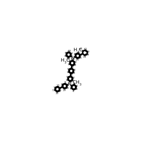 Cc1ccccc1N(c1ccc(-c2ccccc2)cc1)c1ccc(-c2ccc(-c3ccc(N(c4ccc(C5C=CC=CC5C)cc4)c4ccccc4C)cc3)cc2)cc1